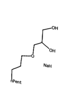 CCCCCCCCOCC(O)CO.[NaH]